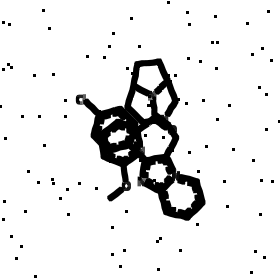 COc1cccc(C(=O)N2C3CCC2CN(Cc2c(-c4ccc(Cl)cc4)nc4ccccn24)CC3)n1